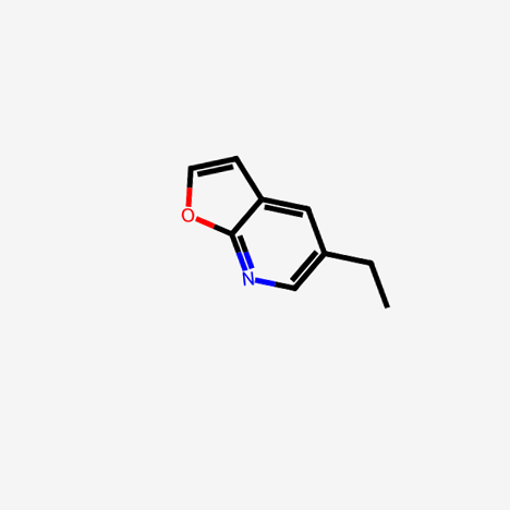 CCc1cnc2occc2c1